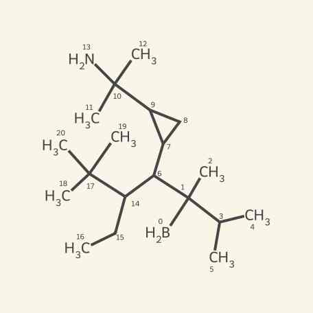 BC(C)(C(C)C)C(C1CC1C(C)(C)N)C(CC)C(C)(C)C